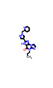 CCCn1c(=O)c2[nH]c(-c3cnn(Cc4ccccn4)c3)nc2n2ccnc12